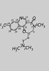 CN(C)CCC1CN(C)C(=O)c2cnc3cc(C(F)(F)F)ccc3c2O1